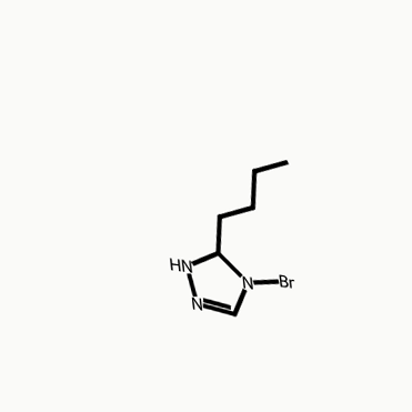 CCCCC1NN=CN1Br